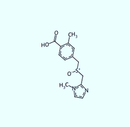 Cc1cc(C[S+]([O-])Cc2nccn2C)ccc1C(=O)O